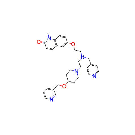 Cn1c(=O)ccc2cc(OCCN(CCN3CCC(OCc4cccnc4)CC3)Cc3ccncc3)ccc21